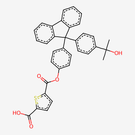 CC(C)(O)c1ccc(C2(c3ccc(OC(=O)c4ccc(C(=O)O)s4)cc3)c3ccccc3-c3ccccc32)cc1